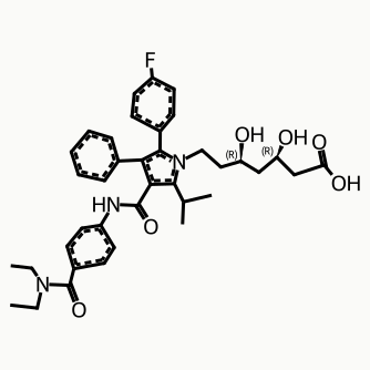 CCN(CC)C(=O)c1ccc(NC(=O)c2c(-c3ccccc3)c(-c3ccc(F)cc3)n(CC[C@@H](O)C[C@@H](O)CC(=O)O)c2C(C)C)cc1